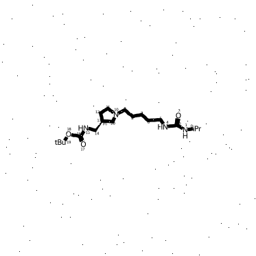 CC(C)NC(=O)NCCCCCN1CC[C@H](CNC(=O)OC(C)(C)C)C1